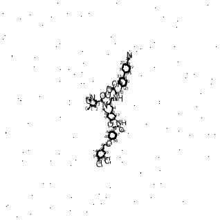 Cc1cc(C(=O)N2Cc3cc4c(cc3CC2C(=O)N[C@@H](Cc2ccc(-c3ccc(C#N)cc3)cc2)C(=O)O)NC(=O)[C@H](c2ccc(OCc3ccc(Cl)c(Cl)c3)cc2)O4)no1